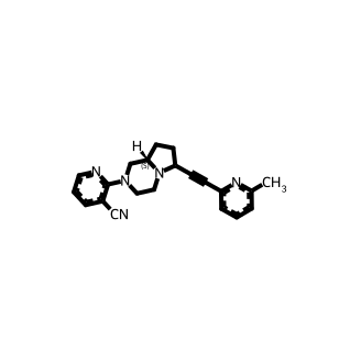 Cc1cccc(C#CC2CC[C@H]3CN(c4ncccc4C#N)CCN23)n1